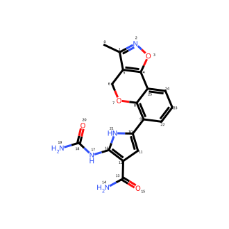 Cc1noc2c1COc1c(-c3cc(C(N)=O)c(NC(N)=O)[nH]3)cccc1-2